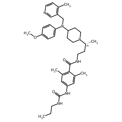 CCCNC(=O)Nc1cc(C)c(C(=O)NCC[C@@H](C)N2CCC(N(Cc3cnccc3C)c3ccc(OC)cc3)CC2)c(C)c1